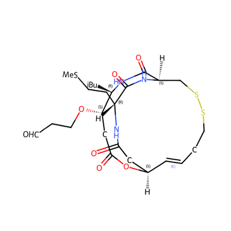 CCC(C)[C@H]1NC(=O)[C@H]2CSSCC/C=C/[C@H](CC(=O)N[C@H](CCSC)C(=O)N2)OC(=O)C[C@@H]1OCCC=O